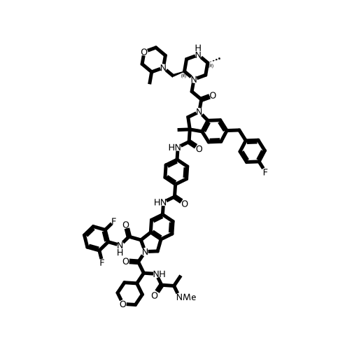 CNC(C)C(=O)NC(C(=O)N1Cc2ccc(NC(=O)c3ccc(NC(=O)C4(C)CN(C(=O)CN5C[C@@H](C)NC[C@@H]5CN5CCOCC5C)c5cc(Cc6ccc(F)cc6)ccc54)cc3)cc2C1C(=O)Nc1c(F)cccc1F)C1CCOCC1